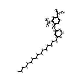 CCCCCCCCCCCCCCCCc1cc(Oc2ccc([N+](=O)[O-])cc2[N+](=O)[O-])nnn1